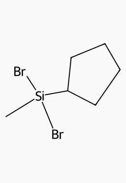 C[Si](Br)(Br)C1CCCC1